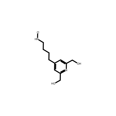 OCc1cc(CCCCNCl)cc(CO)n1